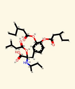 CCC(C)CC(=O)Oc1ccc(C[C@](NC(C)CC)(OC(=O)CC(C)C)C(=O)O)cc1OC(=O)CC(C)CC